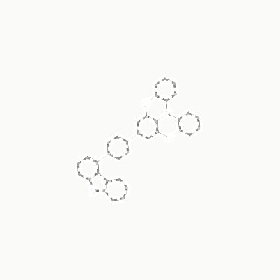 c1ccc2c(c1)Oc1cc(-c3ccc(-c4cccc5sc6ccccc6c45)cc3)cc3c1N2c1ccccc1O3